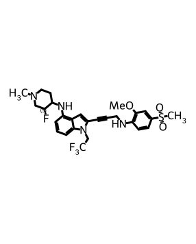 COc1cc(S(C)(=O)=O)ccc1NCC#Cc1cc2c(NC3CCN(C)C[C@@H]3F)cccc2n1CC(F)(F)F